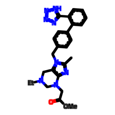 CCN1Cc2c(nc(C)n2Cc2ccc(-c3ccccc3-c3nnn[nH]3)cc2)N(CC(=O)OC)C1